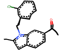 CC(=O)c1ccc2cc(C)n(Cc3ccccc3Cl)c2c1